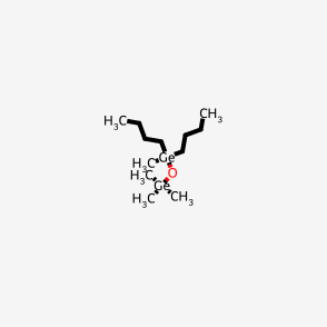 CCC[CH2][Ge]([CH3])([CH2]CCC)[O][Ge]([CH3])([CH3])[CH3]